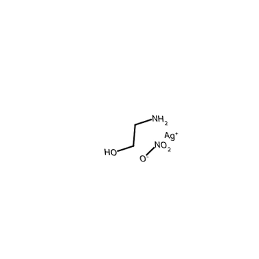 NCCO.O=[N+]([O-])[O-].[Ag+]